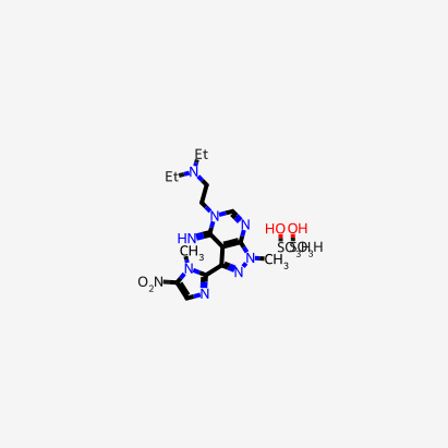 CCN(CC)CCn1cnc2c(c(-c3ncc([N+](=O)[O-])n3C)nn2C)c1=N.O=S(=O)(O)O.O=S(=O)(O)O